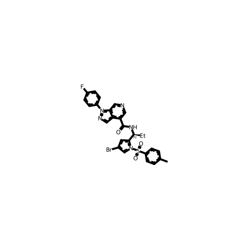 CC[C@H](NC(=O)c1cncc2c1cnn2-c1ccc(F)cc1)c1cc(Br)cn1S(=O)(=O)c1ccc(C)cc1